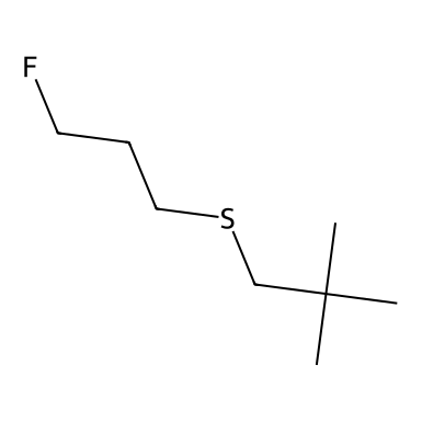 CC(C)(C)CSCCCF